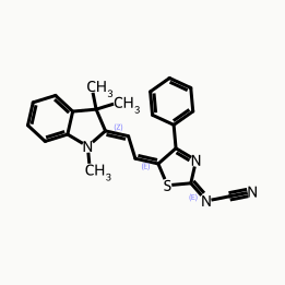 CN1/C(=C\C=C2\S/C(=N/C#N)N=C2c2ccccc2)C(C)(C)c2ccccc21